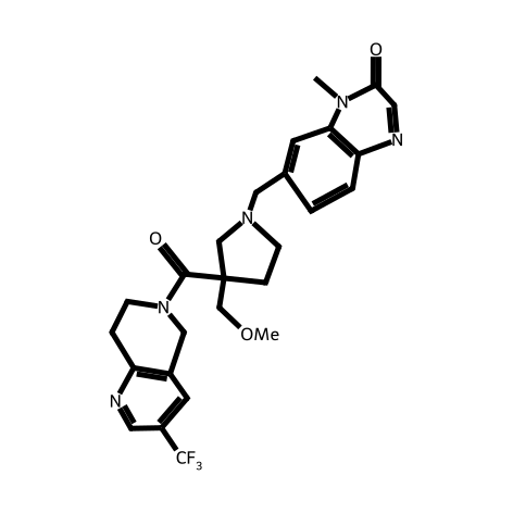 COCC1(C(=O)N2CCc3ncc(C(F)(F)F)cc3C2)CCN(Cc2ccc3ncc(=O)n(C)c3c2)C1